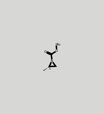 C[C@H]1CN1C(=O)OC(C)(C)C